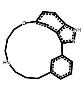 c1cc2cc(c1)-c1n[nH]c3ccc(cc13)OCCCNCCC2